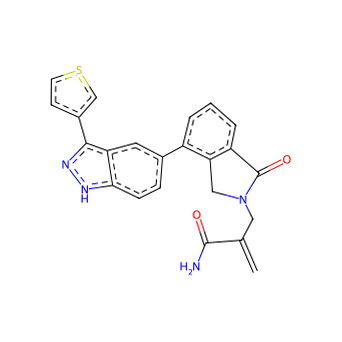 C=C(CN1Cc2c(cccc2-c2ccc3[nH]nc(-c4ccsc4)c3c2)C1=O)C(N)=O